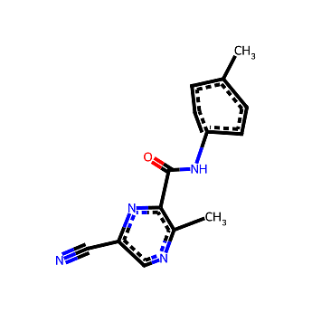 Cc1ccc(NC(=O)c2nc(C#N)cnc2C)cc1